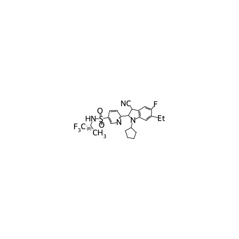 CCc1cc2c(cc1F)C(C#N)C(c1ccc(S(=O)(=O)N[C@H](C)C(F)(F)F)cn1)N2C1CCCC1